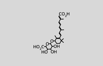 CC1=C(/C=C/C(C)=C/C=C/C(C)=C/C(=O)O)C(C)(C)CCC1OC1OC(C(=O)O)C(O)C(O)C1O